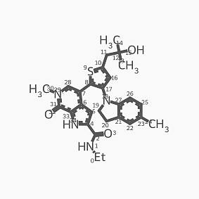 CCNC(=O)c1cc2c(-c3sc(CC(C)(C)O)cc3N3CCc4cc(C)ccc43)cn(C)c(=O)c2[nH]1